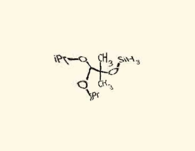 CC(C)OC(OC(C)C)C(C)(C)O[SiH3]